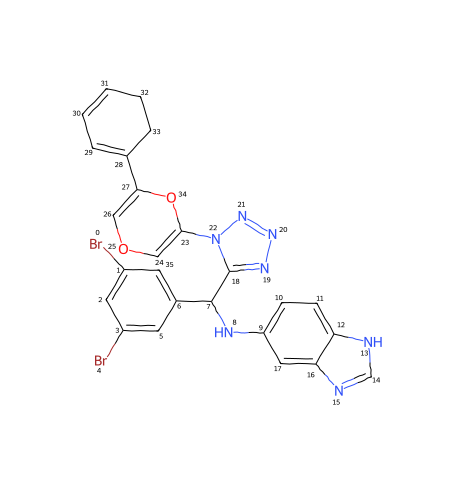 Brc1cc(Br)cc(C(Nc2ccc3[nH]cnc3c2)c2nnnn2C2=COC=C(C3=CC=CCC3)O2)c1